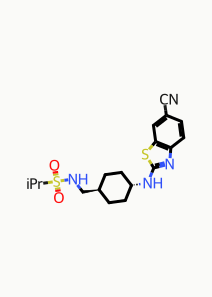 CC(C)S(=O)(=O)NC[C@H]1CC[C@H](Nc2nc3ccc(C#N)cc3s2)CC1